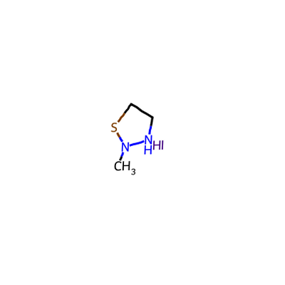 CN1NCCS1.I